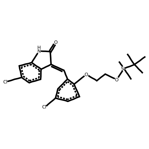 CC(C)(C)[Si](C)(C)OCCOc1ccc(Cl)cc1/C=C1/C(=O)Nc2cc(Cl)ccc21